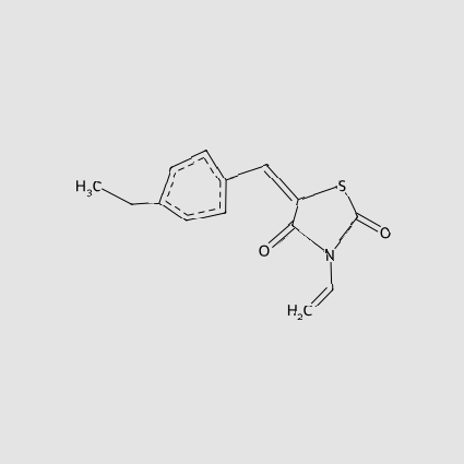 C=CN1C(=O)S/C(=C/c2ccc(CC)cc2)C1=O